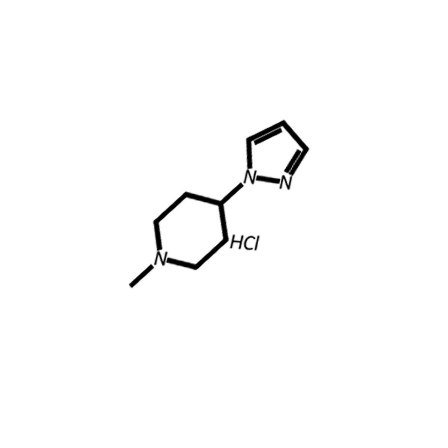 CN1CCC(n2cccn2)CC1.Cl